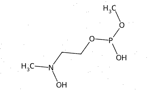 COP(O)OCCN(C)O